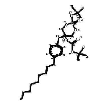 CCCCCCCCCc1ccc(CC2(NC(=O)OC(C)(C)C)COP(=O)(OC(C)(C)C)OC2)cc1